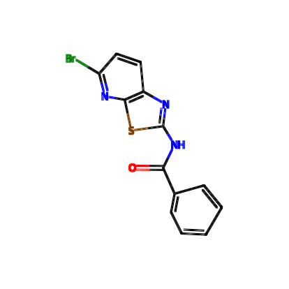 O=C(Nc1nc2ccc(Br)nc2s1)c1ccccc1